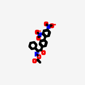 CC(=O)O/N=C(\C(=O)c1ccc(-c2ccc([N+](=O)[O-])cc2[N+](=O)[O-])cc1)C1CCCCC1